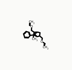 C=COCC1CC2CC1C(C)(c1ccccc1)C2COC=C